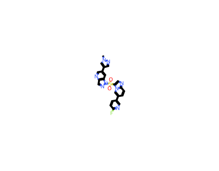 Cn1cc(-c2cnc3cnn(S(=O)(=O)c4cnc5ccc(-c6ccc(F)nc6)cn45)c3c2)cn1